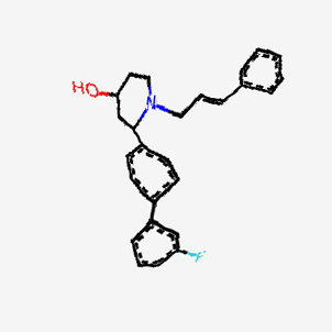 OC1CCN(CC=Cc2ccccc2)C(c2ccc(-c3cccc(F)c3)cc2)C1